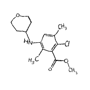 COC(=O)c1c(C)c(NC2CCOCC2)cc(C)c1Cl